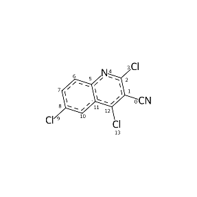 N#Cc1c(Cl)nc2ccc(Cl)cc2c1Cl